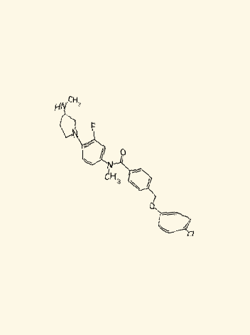 CNC1CCN(c2ccc(N(C)C(=O)c3ccc(COc4ccc(Cl)cc4)cc3)cc2F)C1